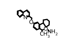 CC(ON)c1ccc(OCc2ccc3ccccc3n2)cc1C1CCCCC1